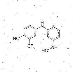 N#Cc1ccc(Nc2cc(NO)ccn2)cc1C(F)(F)F